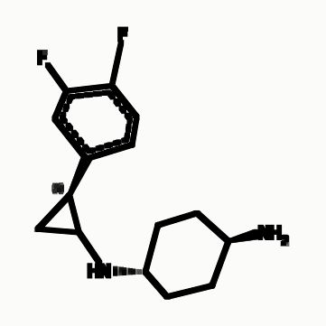 N[C@H]1CC[C@H](NC2C[C@H]2c2ccc(F)c(F)c2)CC1